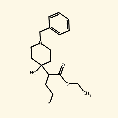 CCOC(=O)C(CCF)C1(O)CCN(Cc2ccccc2)CC1